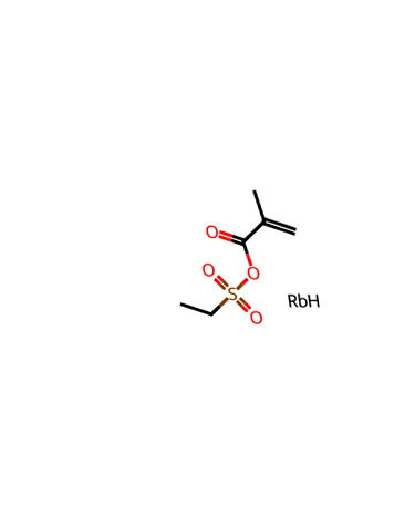 C=C(C)C(=O)OS(=O)(=O)CC.[RbH]